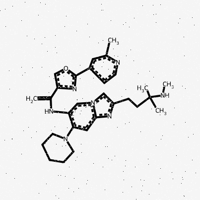 C=C(Nc1cn2cc(CCC(C)(C)NC)nc2cc1N1CCCCC1)c1coc(-c2ccnc(C)c2)n1